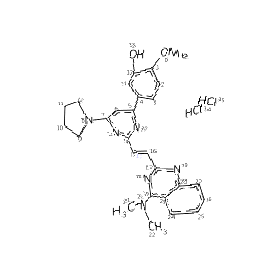 COc1ccc(-c2cc(N3CCCC3)nc(/C=C/c3nc(N(C)C)c4ccccc4n3)n2)cc1O.Cl.Cl